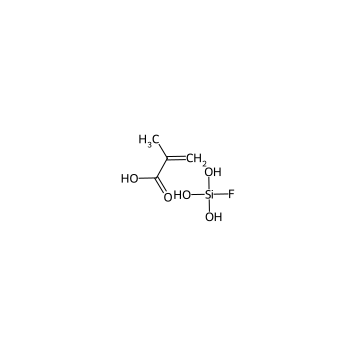 C=C(C)C(=O)O.O[Si](O)(O)F